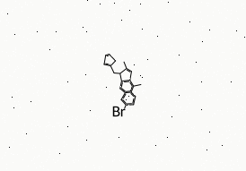 CC1=Cc2c(cc3cc(Br)ccc3c2C)C1CC1=CC=CC1